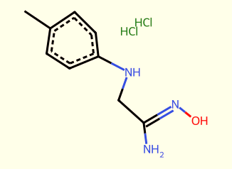 Cc1ccc(NCC(N)=NO)cc1.Cl.Cl